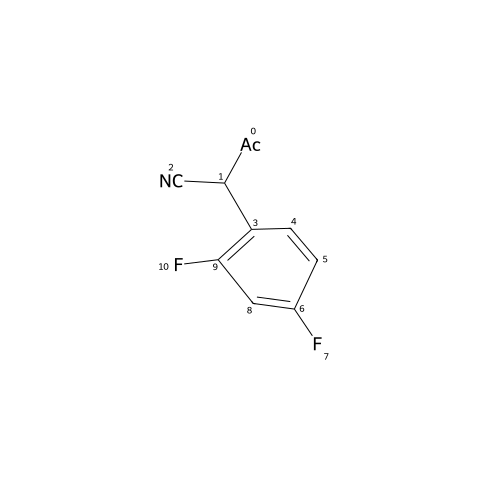 CC(=O)C(C#N)c1ccc(F)cc1F